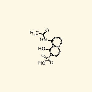 CC(=O)Nc1cccc2ccc(S(=O)(=O)O)c(O)c12